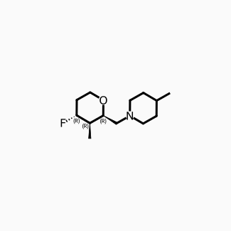 CC1CCN(C[C@@H]2OCC[C@@H](F)[C@@H]2C)CC1